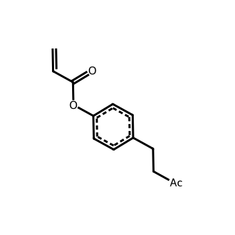 C=CC(=O)Oc1ccc(CCC(C)=O)cc1